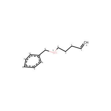 [CH]=CCCCBCc1ccccc1